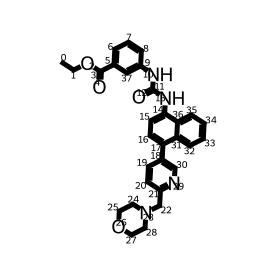 CCOC(=O)c1cccc(NC(=O)Nc2ccc(-c3ccc(CN4CCOCC4)nc3)c3ccccc23)c1